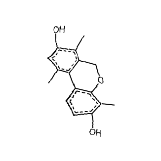 Cc1cc(O)c(C)c2c1-c1ccc(O)c(C)c1OC2